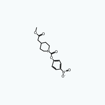 COC(=O)CC1CCN(C(=O)Oc2ccc([N+](=O)[O-])cc2)CC1